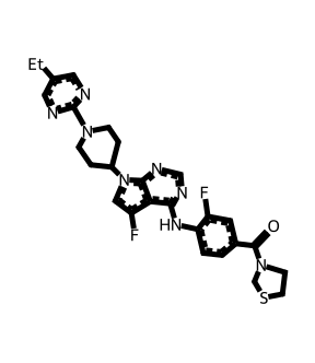 CCc1cnc(N2CCC(n3cc(F)c4c(Nc5ccc(C(=O)N6CCSC6)cc5F)ncnc43)CC2)nc1